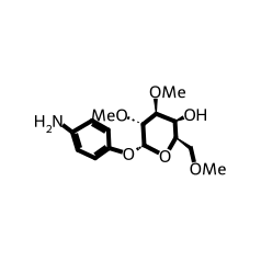 COC[C@H]1O[C@H](Oc2ccc(N)cc2)[C@H](OC)[C@@H](OC)[C@H]1O